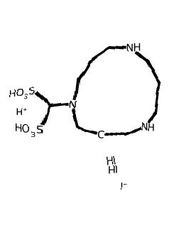 I.I.O=S(=O)(O)C(N1CCCNCCCNCCC1)S(=O)(=O)O.[H+].[I-]